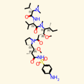 CC[C@@H](C)[C@@H]([C@@H](CC(=O)N1CCC[C@H]1[C@H](OC)[C@@H](C)C(=O)NS(=O)(=O)c1ccc(N)cc1)OC)N(C)C(=O)[C@@H](NC(=O)[C@H](C(C)C)N(C)C)C(C)C